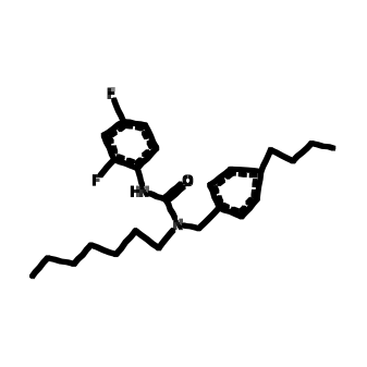 CCCCCCCN(Cc1ccc(CCCC)cc1)C(=O)Nc1ccc(F)cc1F